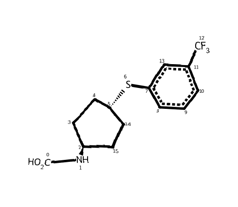 O=C(O)N[C@H]1CC[C@H](Sc2cccc(C(F)(F)F)c2)CC1